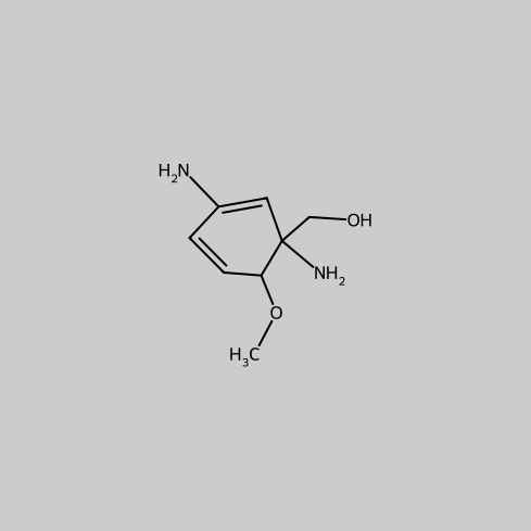 COC1C=CC(N)=CC1(N)CO